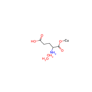 NC(CCC(=O)O)C(=O)[O][Cu].O.O